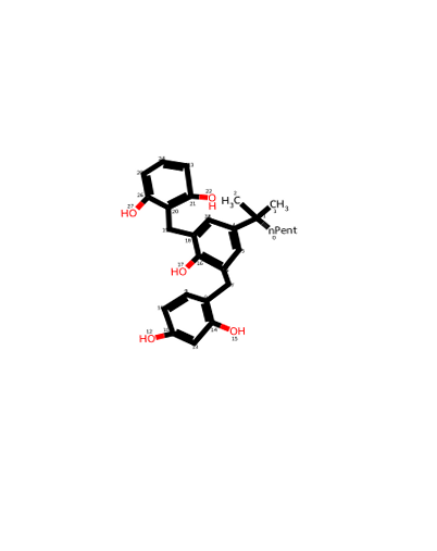 CCCCCC(C)(C)c1cc(Cc2ccc(O)cc2O)c(O)c(Cc2c(O)cccc2O)c1